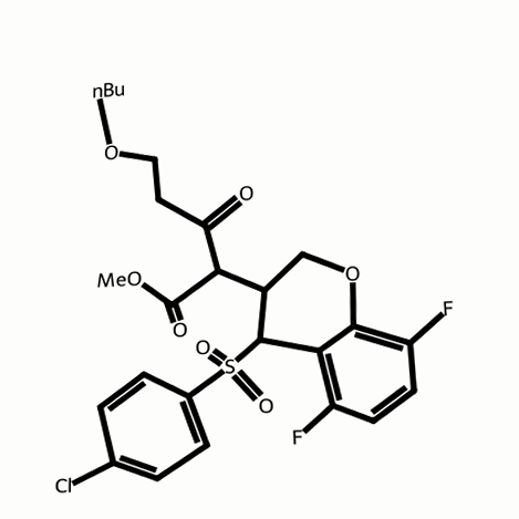 CCCCOCCC(=O)C(C(=O)OC)C1COc2c(F)ccc(F)c2C1S(=O)(=O)c1ccc(Cl)cc1